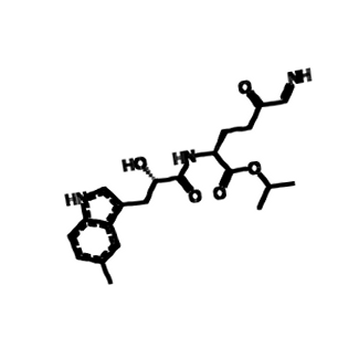 Cc1ccc2[nH]cc(C[C@H](O)C(=O)N[C@@H](CCC(=O)C=N)C(=O)OC(C)C)c2c1